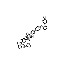 Cc1cc(S(=O)(=O)NC(=O)c2ccc(N3CCN(Cc4ccccc4-c4ccc(Cl)cc4)CC3)cc2)ccc1NC1(CSc2ccoc2C)CCCC1